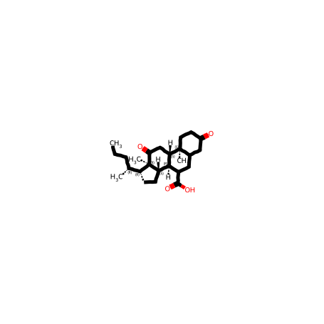 CCC[C@@H](C)[C@H]1CC[C@H]2[C@@H]3C(C(=O)O)CC4CC(=O)CC[C@]4(C)[C@H]3CC(=O)[C@]12C